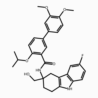 COc1ccc(-c2ccc(OC(C)C)c(C(=O)NC3(CO)CCc4[nH]c5ccc(F)cc5c4C3)c2)cc1OC